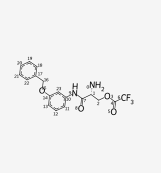 N[C@H](COC(=O)C(F)(F)F)C(=O)Nc1cccc(OCc2ccccc2)c1